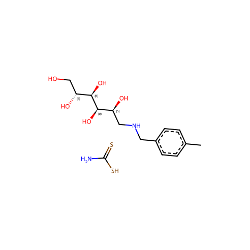 Cc1ccc(CNC[C@H](O)[C@@H](O)[C@H](O)[C@H](O)CO)cc1.NC(=S)S